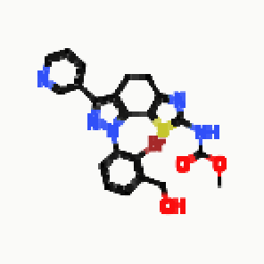 COC(=O)Nc1nc2c(s1)-c1c(c(-c3cccnc3)nn1-c1cccc(CO)c1Br)CC2